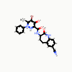 Cc1c(Br)c(=O)c(C(=O)NC2CCc3cc(C#N)ccc3NC2=O)nn1-c1ccccc1